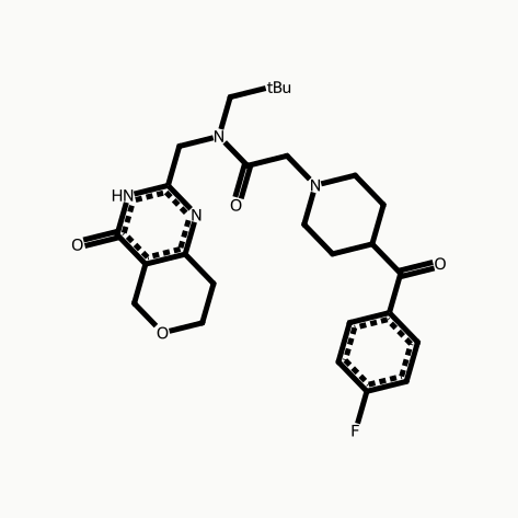 CC(C)(C)CN(Cc1nc2c(c(=O)[nH]1)COCC2)C(=O)CN1CCC(C(=O)c2ccc(F)cc2)CC1